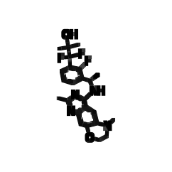 Cc1nc(N[C@H](C)c2cccc(C(F)(F)C(C)(C)O)c2F)c2cc3c(cc2n1)OCCN3C